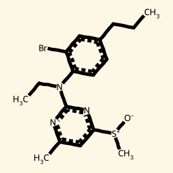 CCCc1ccc(N(CC)c2nc(C)cc([S+](C)[O-])n2)c(Br)c1